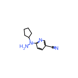 N#Cc1ccc(N(N)C2CCCC2)nc1